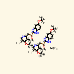 [2H]C([2H])([2H])Oc1ccc2[nH]c([S+]([O-])Cc3ncc(C)c(OC([2H])([2H])[2H])c3C)nc2c1.[2H]C([2H])([2H])Oc1ccc2[nH]c([S+]([O-])Cc3ncc(C)c(OC([2H])([2H])[2H])c3C)nc2c1.[MgH2]